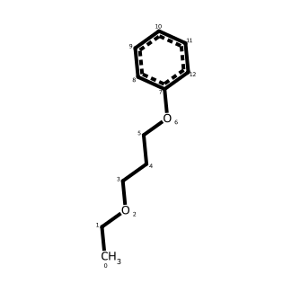 CCOCCCOc1ccccc1